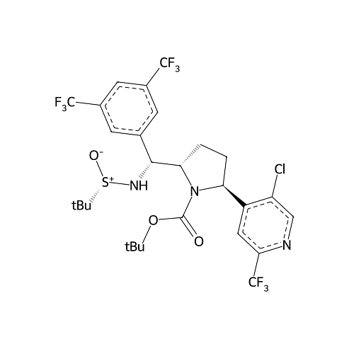 CC(C)(C)OC(=O)N1[C@H](c2cc(C(F)(F)F)ncc2Cl)CC[C@H]1[C@H](N[S@@+]([O-])C(C)(C)C)c1cc(C(F)(F)F)cc(C(F)(F)F)c1